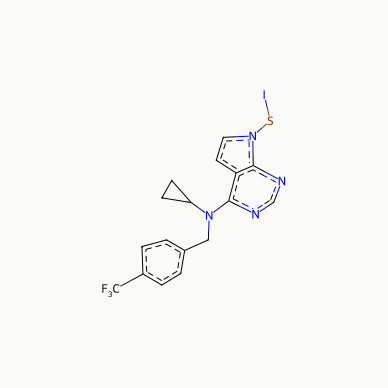 FC(F)(F)c1ccc(CN(c2ncnc3c2ccn3SI)C2CC2)cc1